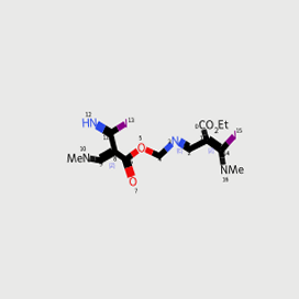 CCOC(=O)C(/C=N/COC(=O)/C(=C/NC)C(=N)I)=C(\I)NC